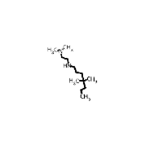 CCCC(C)(C)CCCNCCN(C)C